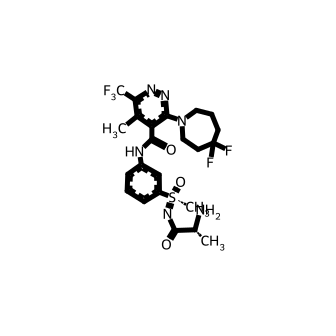 Cc1c(C(F)(F)F)nnc(N2CCCC(F)(F)CC2)c1C(=O)Nc1cccc([S@@](C)(=O)=NC(=O)[C@@H](C)N)c1